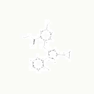 COC(=O)c1cc(Br)ccc1Nc1cc(C2CC2)nn1-c1ncccc1C